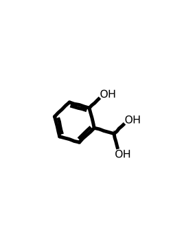 O[C](O)c1ccccc1O